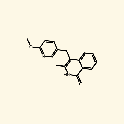 COc1ccc(Cc2c(C)[nH]c(=O)c3ccccc23)cn1